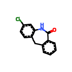 O=C1Nc2cc(Cl)ccc2Cc2ccccc21